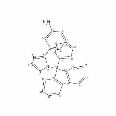 Nc1cccc(-c2nnnn2C(c2ccccc2)(c2ccccc2)c2ccccc2)c1